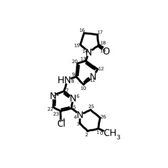 CC1CCN(c2nc(Nc3cncc(N4CCCC4=O)c3)ncc2Cl)CC1